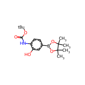 CC(C)(C)OC(=O)Nc1ccc(B2OC(C)(C)C(C)(C)O2)cc1O